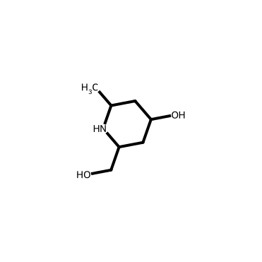 CC1CC(O)CC(CO)N1